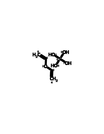 C=COC=C.O[Si](O)(O)O